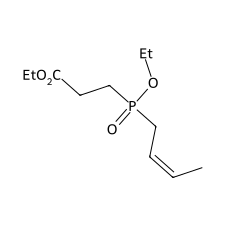 C/C=C\CP(=O)(CCC(=O)OCC)OCC